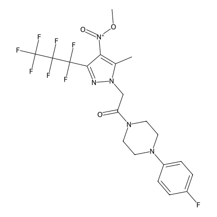 CO[N+](=O)c1c(C(F)(F)C(F)(F)C(F)(F)F)nn(CC(=O)N2CCN(c3ccc(F)cc3)CC2)c1C